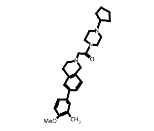 COc1ccc(-c2ccc3c(c2)CCN(CC(=O)N2CCN(C4CCCC4)CC2)C3)cc1C